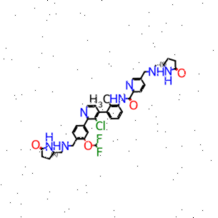 Cc1c(NC(=O)c2ccc(CNC[C@@H]3CCC(=O)N3)cn2)cccc1-c1ccnc(-c2ccc(CNC[C@H]3CCC(=O)N3)c(OC(F)F)c2)c1Cl